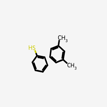 Cc1cccc(C)c1.Sc1ccccc1